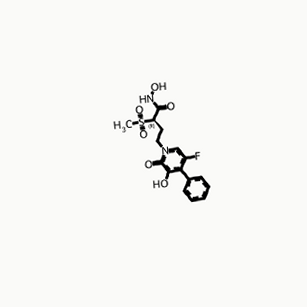 CS(=O)(=O)[C@H](CCn1cc(F)c(-c2ccccc2)c(O)c1=O)C(=O)NO